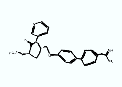 N=C(N)c1ccc(-c2ccc(OC[C@@H]3C[C@@H](CC(=O)O)C(=O)N3c3cccnc3)cc2)cc1